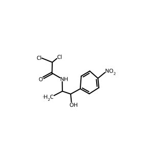 [CH2]C(NC(=O)C(Cl)Cl)C(O)c1ccc([N+](=O)[O-])cc1